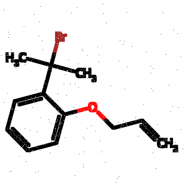 C=CCOc1ccccc1C(C)(C)Br